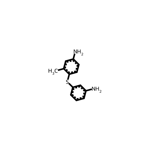 Cc1cc(N)ccc1Sc1cccc(N)c1